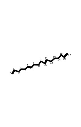 C=CCCCC=CCCCC=CCCCCC=C